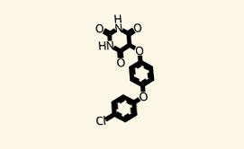 O=C1NC(=O)C(Oc2ccc(Oc3ccc(Cl)cc3)cc2)C(=O)N1